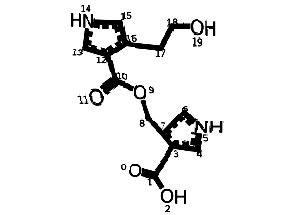 O=C(O)c1c[nH]cc1COC(=O)c1c[nH]cc1CCO